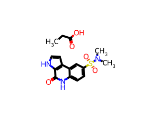 CCC(=O)O.CN(C)S(=O)(=O)c1ccc2[nH]c(=O)c3[nH]ccc3c2c1